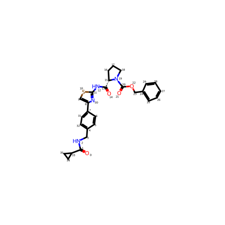 O=C(NCc1ccc(-c2csc(NC(=O)[C@@H]3CCCN3C(=O)OCc3ccccc3)n2)cc1)C1CC1